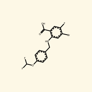 O=C(O)c1cc(F)c(Br)cc1NCc1ccc(OC(F)F)cc1